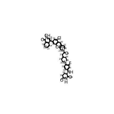 COc1cc(-c2cn(C)c(=O)c3cnccc23)cc(Cl)c1C=C1CCN(C(=O)CC2CCN(c3ccc(NC4CCC(=O)NC4=O)cc3F)CC2)CC1